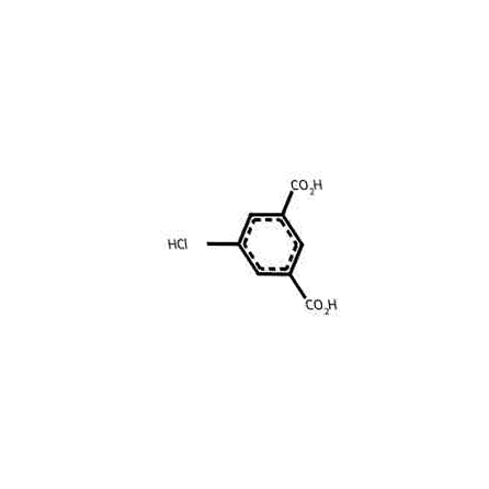 Cc1cc(C(=O)O)cc(C(=O)O)c1.Cl